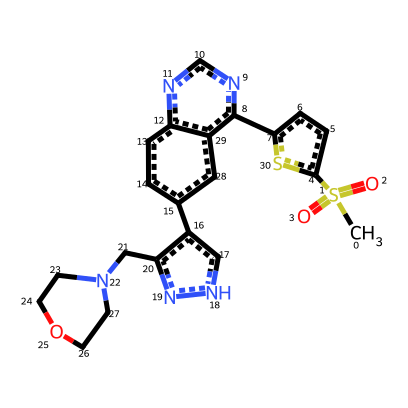 CS(=O)(=O)c1ccc(-c2ncnc3ccc(-c4c[nH]nc4CN4CCOCC4)cc23)s1